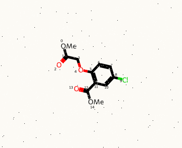 COC(=O)COc1ccc(Cl)cc1C(=O)OC